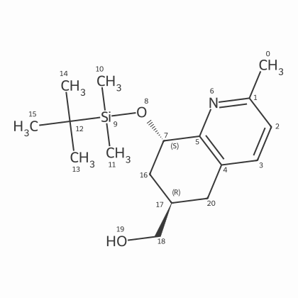 Cc1ccc2c(n1)[C@@H](O[Si](C)(C)C(C)(C)C)C[C@H](CO)C2